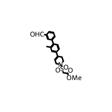 COC(=O)CS(=O)(=O)N1CC=C(c2ccc(-c3cccc(C=O)c3)c(C)c2)CC1